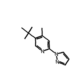 Cc1cc(-n2cccn2)ncc1C(C)(C)C